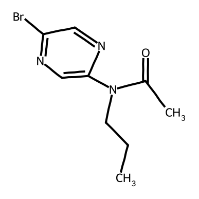 CCCN(C(C)=O)c1cnc(Br)cn1